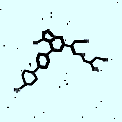 CC(CO)CN/C=C(\C=N)c1cc(-c2ccc(N3CCN(C)CC3)cc2)c2c(C#N)cnn2c1